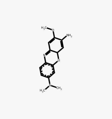 COC1=CC2=Nc3ccc(N(C)C)cc3OC2C=C1N